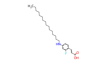 CCCCCCCCCCCCCCCCNc1ccc(C=CC(=O)O)c(F)c1